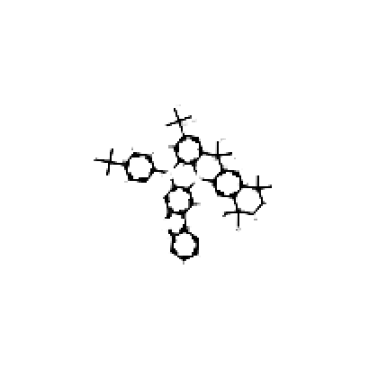 CC(C)(C)c1ccc(N2c3cc4oc5ccccc5c4cc3B3c4cc5c(cc4C(C)(C)c4cc(C(C)(C)C)cc2c43)C(C)(C)CCC5(C)C)cc1